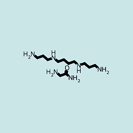 NCC(N)=O.NCCCNCCCCNCCCN